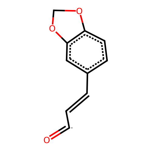 O=[C]C=Cc1ccc2c(c1)OCO2